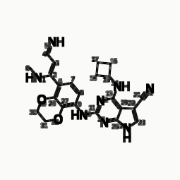 CN/C(=C\C=N)c1ccc(Nc2nc(NC3CCC3)c3c(C#N)c[nH]c3n2)c2c1OCCO2